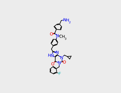 CN(C(=O)c1ccc(CN)cc1)c1ccc(Cc2nc3c([nH]2)c(=O)n(Cc2ccccc2F)c(=O)n3CC2CC2)cc1